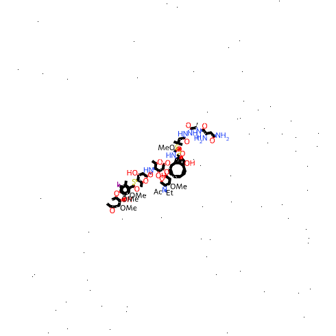 CCN(C(C)=O)C1COC(OC2C(O[C@H]3C#C/C=C\C#C[C@]4(O)CC(=O)C(NC(=O)OC)=C3/C4=C\CSSC(C)(C)CC(=O)NNC(=O)[C@H](C)NC(=O)[C@@H](N)CC(N)=O)OC(C)C(NOC3CC(O)C(SC(=O)c4c(C)c(I)c(OC(C)C(O)C(OC)C5OC5C)c(OC)c4OC)C(C)O3)C2O)CC1OC